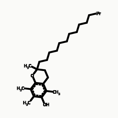 Cc1c(C)c2c(c(C)c1O)CCC(C)(CCCCCCCCCCCC(C)C)O2